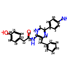 Nc1ccc(-c2cnc(NC(=O)Cc3ccc(O)cc3)c(Cc3ccccc3)n2)cc1